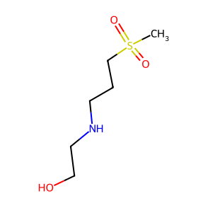 CS(=O)(=O)CCCNCCO